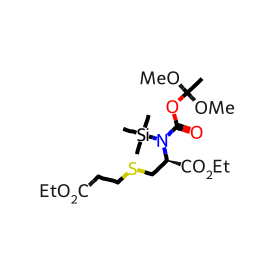 CCOC(=O)CCSC[C@H](C(=O)OCC)N(C(=O)OC(C)(OC)OC)[Si](C)(C)C